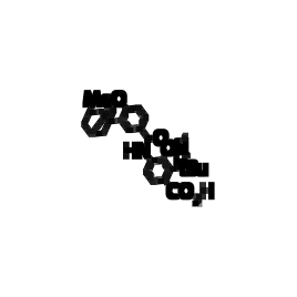 COc1ccc(C(=O)Nc2ccc(C(=O)O)c(C(C)(C)C)c2O[SiH](C)C)cc1C12CC3CC(CC(C3)C1)C2